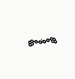 c1cc2ccc3ccc(-c4ccc(-c5ccc6c(c5)sc5cc(-c7ccc(-c8ccc9ccc%10cccc%11ccc8c9c%10%11)cc7)ccc56)cc4)c4ccc(c1)c2c34